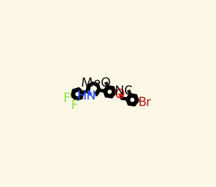 COc1cc(OCc2ccc(Br)cc2C#N)ccc1C1=CNC(c2ccc(F)c(F)c2)=CCC1